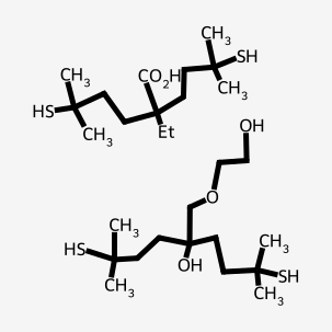 CC(C)(S)CCC(O)(CCC(C)(C)S)COCCO.CCC(CCC(C)(C)S)(CCC(C)(C)S)C(=O)O